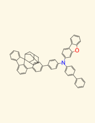 c1ccc(-c2ccc(N(c3ccc(-c4ccc(-c5cccc6c5C5(c7ccccc7-6)C6CC7CC(C6)CC5C7)cc4)cc3)c3ccc4c(c3)oc3ccccc34)cc2)cc1